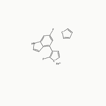 Fc1cc(-c2cc[cH-]c2F)c2cc[nH]c2c1.[Fe+2].c1cc[cH-]c1